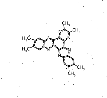 Cc1cc2nc3c4nc(C)c(C)nc4c4nc5cc(C)c(C)cc5nc4c3nc2cc1C